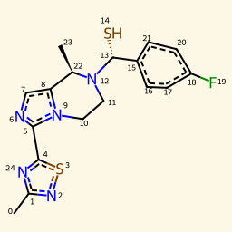 Cc1nsc(-c2ncc3n2CCN([C@H](S)c2ccc(F)cc2)[C@@H]3C)n1